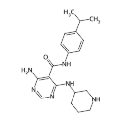 CC(C)c1ccc(NC(=O)c2c(N)ncnc2NC2CCCNC2)cc1